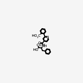 O=C(NC(Cc1ccccc1)C(O)C(=O)O)c1ccnc(-c2ccccc2C(=O)O)c1